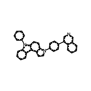 c1ccc(-n2c3ccccc3c3c4ccn(-c5ccc(-c6cncc7ccccc67)cc5)c4ccc32)cc1